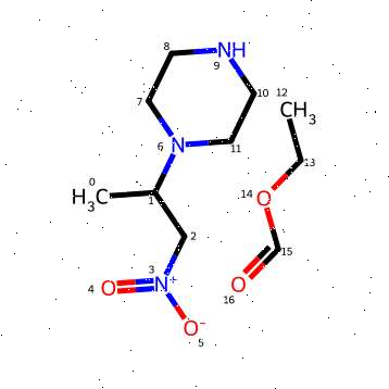 CC(C[N+](=O)[O-])N1CCNCC1.CCOC=O